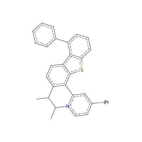 CC(C)c1cc[n+]2c(c1)-c1c(ccc3c1sc1cccc(-c4ccccc4)c13)C(C)C2C